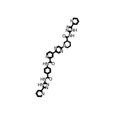 O=C(Nc1nnc(-c2ccccn2)[nH]1)c1ccc(NC(=O)c2cc(-c3cnc(N4CCCC(C(=O)Nc5nnc(-c6ccccn6)[nH]5)C4)cn3)ccn2)cc1